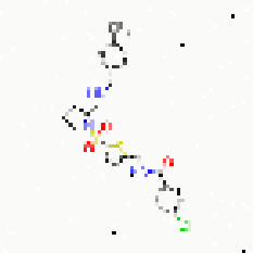 O=C(NCc1ccc(S(=O)(=O)N2CCCC2CNCc2ccc(C(F)(F)F)cc2)s1)c1ccc(Cl)cc1